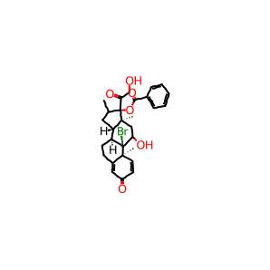 CC1C[C@H]2[C@@H]3CCC4=CC(=O)C=C[C@]4(C)[C@@]3(Br)C(O)C[C@]2(C)[C@@]1(OC(=O)c1ccccc1)C(=O)CO